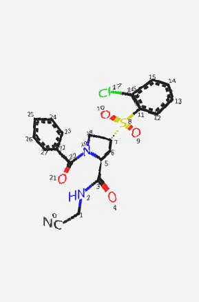 N#CCNC(=O)[C@@H]1C[C@@H](S(=O)(=O)c2ccccc2Cl)CN1C(=O)c1ccccc1